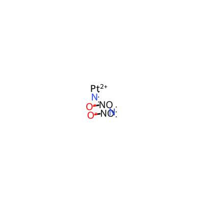 O=N[O-].O=N[O-].[N].[N].[Pt+2]